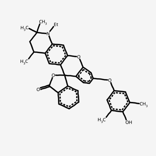 CCN1c2cc3c(cc2C(C)CC1(C)C)C1(OC(=O)c2ccccc21)c1ccc(Oc2cc(C)c(O)c(C)c2)cc1O3